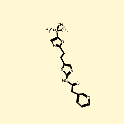 C[Si](C)(C)c1cnc(CCc2cnc(NC(=O)Cc3cccnc3)s2)o1